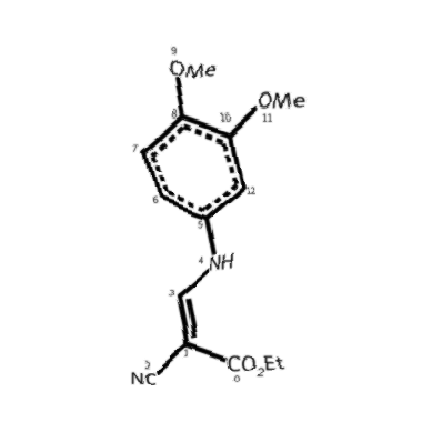 CCOC(=O)/C(C#N)=C\Nc1ccc(OC)c(OC)c1